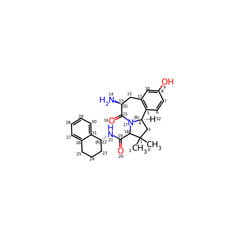 CC1(C)C[C@@H]2c3ccc(O)cc3C[C@H](N)C(=O)N2C1C(=O)N[C@@H]1CCCc2ccccc21